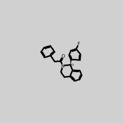 O=C(Cc1ccccc1)N1CCc2ccccc2[C@@H]1c1ccc(F)cc1